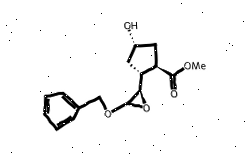 COC(=O)[C@@H]1C[C@@H](O)C[C@H]1[C@H]1OC1OCc1ccccc1